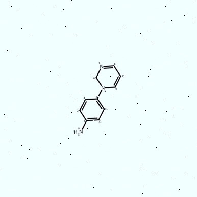 Nc1ccc(N2C=CC=NC2)cc1